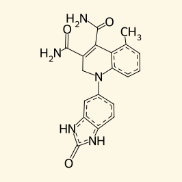 Cc1cccc2c1C(C(N)=O)=C(C(N)=O)CN2c1ccc2[nH]c(=O)[nH]c2c1